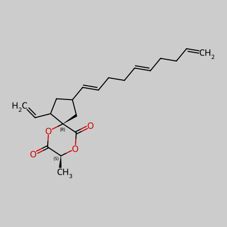 C=CCCC=CCCC=CC1CC(C=C)[C@@]2(C1)OC(=O)[C@H](C)OC2=O